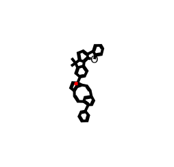 Cc1c2ccc(-c3ccc4c(c3)C(C)(C)c3ccc5c(oc6ccccc65)c3-4)c1ccc1ccc(-c3ccccc3)c(cc2)c1